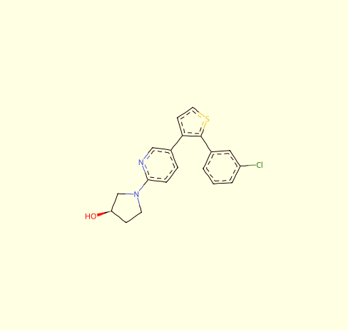 O[C@@H]1CCN(c2ccc(-c3ccsc3-c3cccc(Cl)c3)cn2)C1